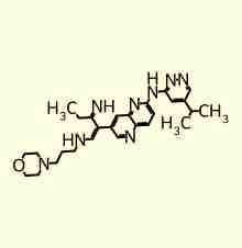 CCC(=N)/C(=C\NCCCN1CCOCC1)c1cnc2ccc(Nc3cc(C(C)C)cnn3)nc2c1